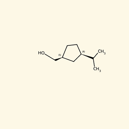 CC(C)[C@@H]1CC[C@H](CO)C1